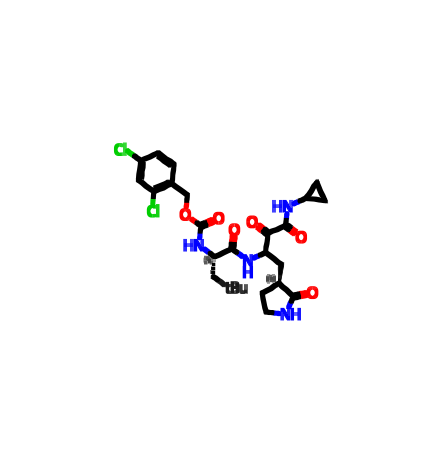 CC(C)(C)C[C@H](NC(=O)OCc1ccc(Cl)cc1Cl)C(=O)NC(C[C@@H]1CCNC1=O)C(=O)C(=O)NC1CC1